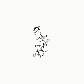 Cc1ccc(Br)nc1NC(=O)[C@@H]1C[C@@]2(Cc3nnco3)C[C@H]2N1C(=O)C(F)(F)F